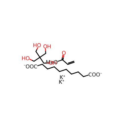 C=CC(=O)OC.O=C([O-])CCCCCCCCC(=O)[O-].OCC(CO)(CO)CO.[K+].[K+]